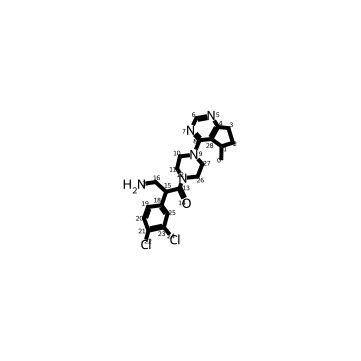 CC1CCc2ncnc(N3CCN(C(=O)C(CN)c4ccc(Cl)c(Cl)c4)CC3)c21